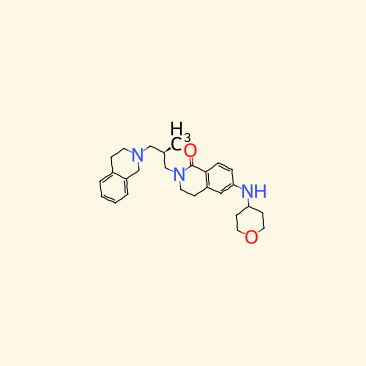 C[C@H](CN1CCc2ccccc2C1)CN1CCc2cc(NC3CCOCC3)ccc2C1=O